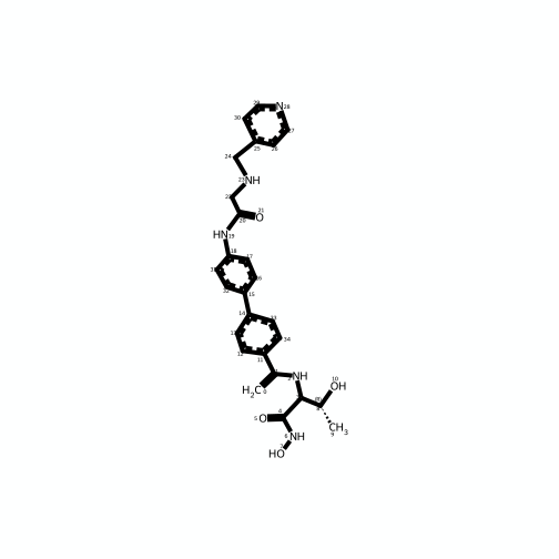 C=C(NC(C(=O)NO)[C@@H](C)O)c1ccc(-c2ccc(NC(=O)CNCc3ccncc3)cc2)cc1